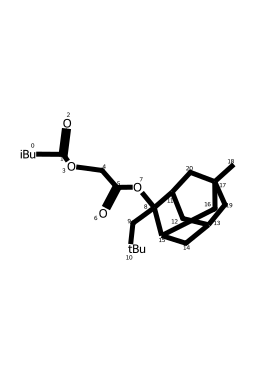 CCC(C)C(=O)OCC(=O)OC1(CC(C)(C)C)C2CC3CC1CC(C)(C3)C2